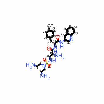 NCCN(CCN)S(=O)(=O)NC[C@H](N)C(=O)N[C@H](Cc1ccc(C(F)(F)F)cc1)C(=O)Nc1cnc2ccccc2c1